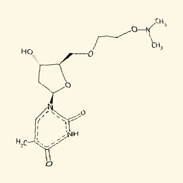 Cc1cn([C@H]2C[C@H](O)[C@@H](COCCON(C)C)O2)c(=O)[nH]c1=O